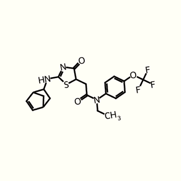 CCN(C(=O)CC1SC(NC2CC3C=CC2C3)=NC1=O)c1ccc(OC(F)(F)F)cc1